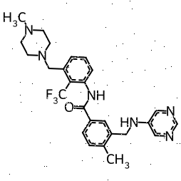 Cc1ccc(C(=O)Nc2cccc(CN3CCN(C)CC3)c2C(F)(F)F)cc1CNc1cncnc1